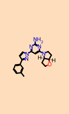 Cc1cccc(-c2ccn(-c3cc(N4CC[C@H]5OCC[C@H]54)nc(N)n3)n2)c1